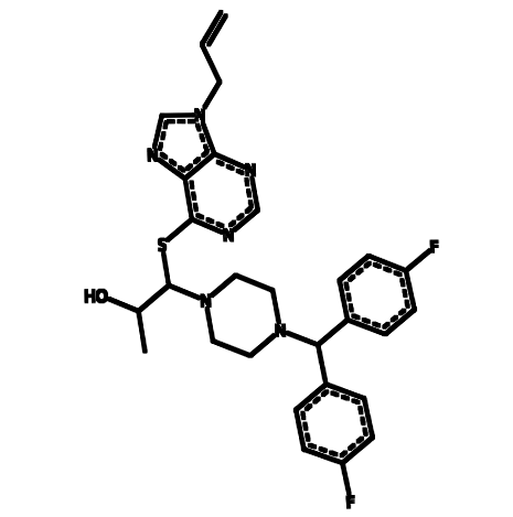 C=CCn1cnc2c(SC(C(C)O)N3CCN(C(c4ccc(F)cc4)c4ccc(F)cc4)CC3)ncnc21